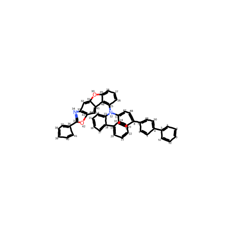 c1ccc(-c2ccc(-c3ccc(N(c4ccccc4-c4ccccc4)c4cccc5oc6cc7nc(-c8ccccc8)oc7cc6c45)cc3)cc2)cc1